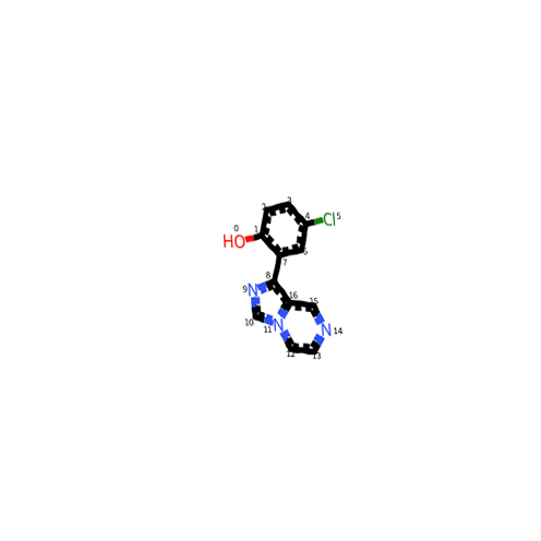 Oc1ccc(Cl)cc1-c1ncn2ccncc12